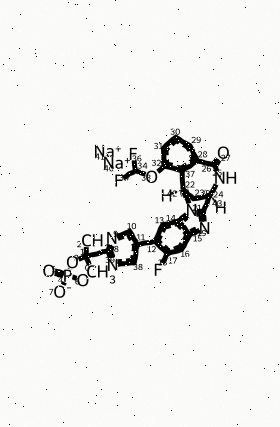 CC(C)(OP(=O)([O-])[O-])c1ncc(-c2cc3c(cc2F)nc2n3[C@@H]3C[C@H]2NC(=O)c2cccc(OC(F)F)c23)cn1.[Na+].[Na+]